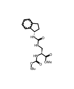 COC(=O)[C@H](CNC(=O)N[C@H]1CCc2ccccc21)NC(=O)OC(C)(C)C